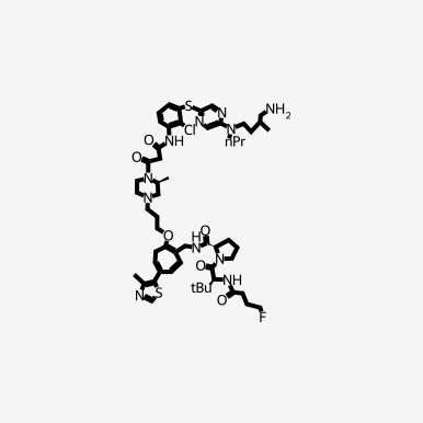 CCCN(CCC(C)CN)c1cnc(Sc2cccc(NC(=O)CC(=O)N3CCN(CCCOC4=C(CNC(=O)[C@@H]5CCCN5C(=O)[C@@H](NC(=O)CCCF)C(C)(C)C)C=CC(c5scnc5C)=CC4)C[C@@H]3C)c2Cl)cn1